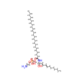 CCCCCCC/C=C/C=C/[C@@H](O)[C@H](COP(=O)(O)OCCN)NC(=O)CCCCCCCCCCCCCCCCCCCCCCCC